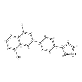 Oc1cccc2c(Cl)cc(-c3ccc(-c4nn[nH]n4)cc3)nc12